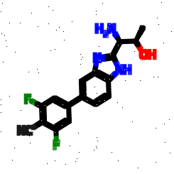 C[C@@H](O)[C@H](N)c1nc2cc(-c3cc(F)c(C#N)c(F)c3)ccc2[nH]1